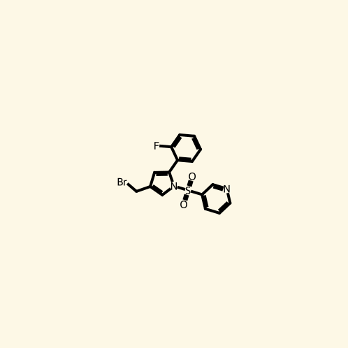 O=S(=O)(c1cccnc1)n1cc(CBr)cc1-c1ccccc1F